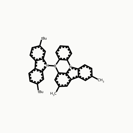 Cc1ccc2c(c1)c1cc(C)cc3c1n2-c1ccccc1B3n1c2cc(C(C)(C)C)ccc2c2ccc(C(C)(C)C)cc21